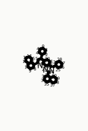 c1ccc(-c2cc(-c3cccc4ccccc34)nc3c2ccc2c(-c4ccccc4)nc(-c4cccc5ccccc45)nc23)cc1